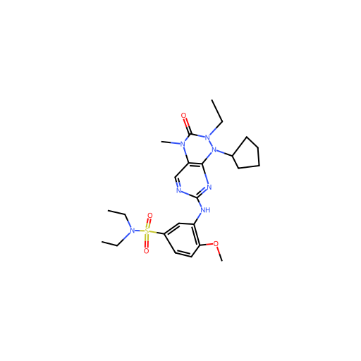 CCN1C(=O)N(C)c2cnc(Nc3cc(S(=O)(=O)N(CC)CC)ccc3OC)nc2N1C1CCCC1